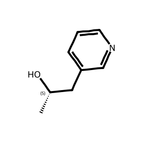 C[C@H](O)Cc1cccnc1